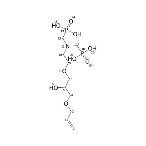 C=CCOCC(O)COCCN(CP(=O)(O)O)CP(=O)(O)O